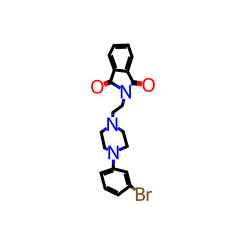 O=C1c2ccccc2C(=O)N1CCN1CCN(c2cccc(Br)c2)CC1